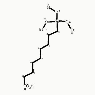 CCO[Si](CCCCCCCCC(=O)O)(OCC)OCC